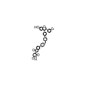 COc1cccc([C@H]2COc3cc(O)ccc3[C@H]2c2ccc(N3CCC(CN4CCN(c5ccc6c(c5)CN([C@H]5CCC(=O)NC5=O)C6=O)CC4)CC3)cc2)c1